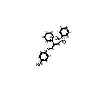 O=S(=O)(CC(CSc1ccc(Br)cc1)N1CCCCC1)c1ccccc1